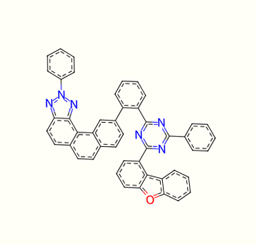 c1ccc(-c2nc(-c3ccccc3-c3ccc4ccc5ccc6nn(-c7ccccc7)nc6c5c4c3)nc(-c3cccc4oc5ccccc5c34)n2)cc1